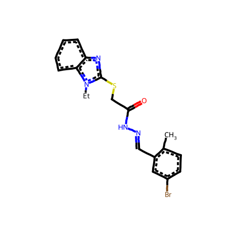 CCn1c(SCC(=O)N/N=C/c2cc(Br)ccc2C)nc2ccccc21